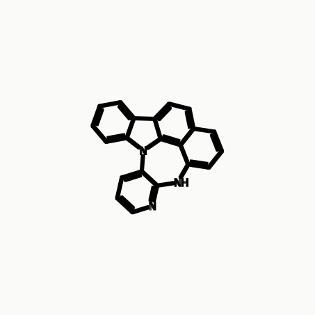 c1cc2ccc3c4ccccc4n4c5cccnc5[nH]c(c1)c2c34